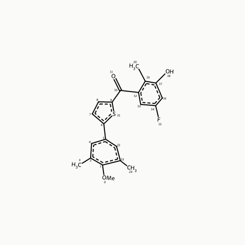 COc1c(C)cc(-c2ccc(C(=O)c3cc(F)cc(O)c3C)s2)cc1C